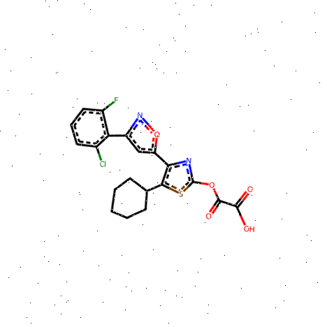 O=C(O)C(=O)Oc1nc(-c2cc(-c3c(F)cccc3Cl)no2)c(C2CCCCC2)s1